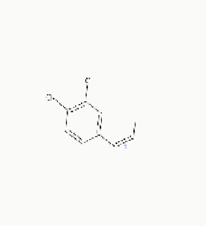 C/C=C\c1ccc(Cl)c(Cl)c1